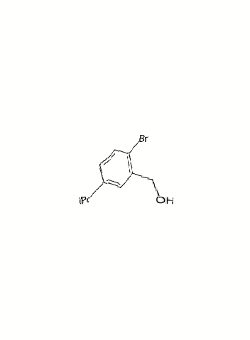 CC(C)c1ccc(Br)c(CO)c1